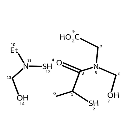 CC(S)C(=O)N(CO)CC(=O)O.CCN(S)CO